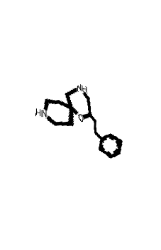 c1ccc(CCC2CNCC3(CCNCC3)O2)cc1